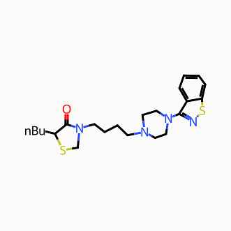 CCCCC1SCN(CCCCN2CCN(c3nsc4ccccc34)CC2)C1=O